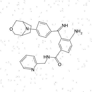 N=C(c1ccc(N2C3CCC2COC3)cc1)c1cc(C(=O)NCc2ccccn2)ccc1N